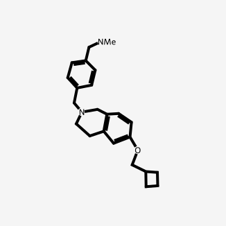 CNCc1ccc(CN2CCc3cc(OCC4CCC4)ccc3C2)cc1